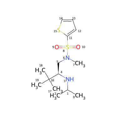 CC(C)N[C@H](CN(C)S(=O)(=O)c1cccs1)C(C)(C)C